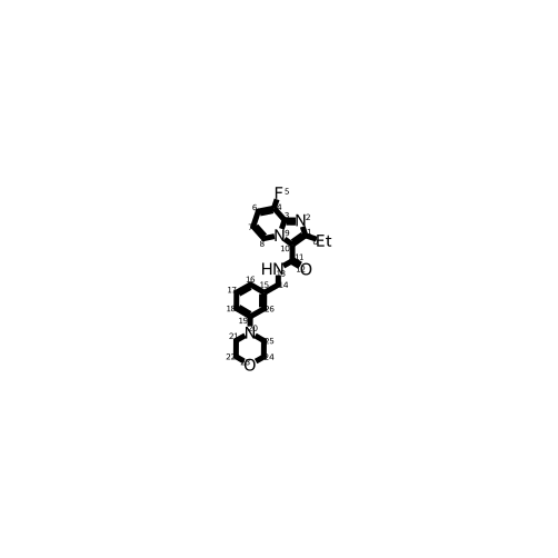 CCc1nc2c(F)cccn2c1C(=O)NCc1cccc(N2CCOCC2)c1